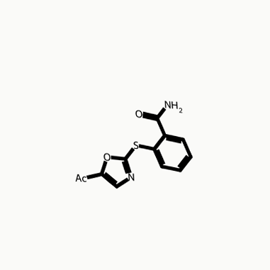 CC(=O)c1cnc(Sc2ccccc2C(N)=O)o1